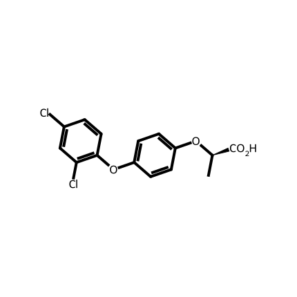 C[C@@H](Oc1ccc(Oc2ccc(Cl)cc2Cl)cc1)C(=O)O